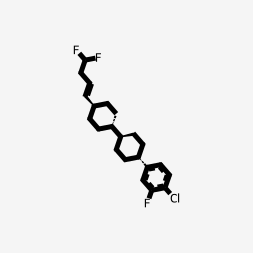 Fc1cc([C@H]2CC[C@H]([C@H]3CC[C@H](C=CCC(F)F)CC3)CC2)ccc1Cl